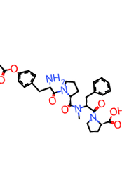 CC(=O)Oc1ccc(C[C@H](N)C(=O)N2CCC[C@H]2C(=O)N(C)[C@@H](Cc2ccccc2)C(=O)N2CCC[C@@H]2C(=O)O)cc1